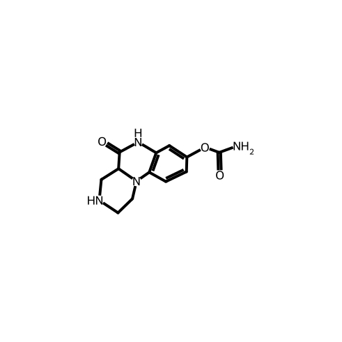 NC(=O)Oc1ccc2c(c1)NC(=O)C1CNCCN21